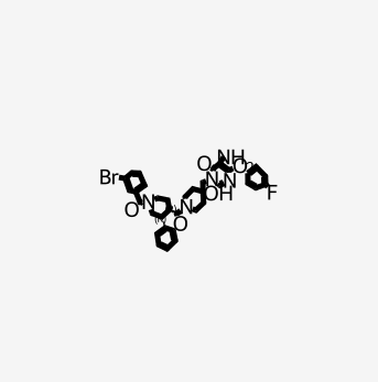 Nc1c(Oc2ccc(F)cc2)ncn(CC2(O)CCN(C(=O)[C@@H]3CCN(C(=O)c4cccc(Br)c4)C[C@H]3c3ccccc3)CC2)c1=O